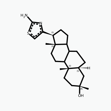 C[C@@]1(O)CC[C@]2(C)C3CC[C@@]4(C)C(CC[C@@H]4c4csc(N)n4)C3CC[C@H]2C1